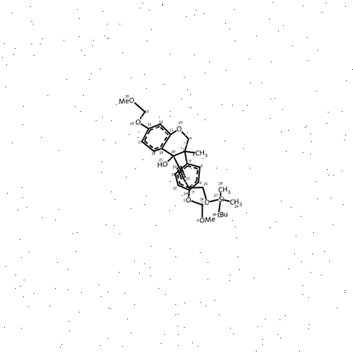 COCOc1ccc(C2(C)COc3cc(OCOC)ccc3C2(O)C#CCCO[Si](C)(C)C(C)(C)C)cc1